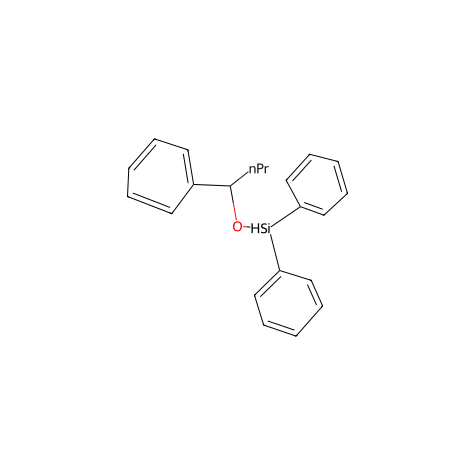 CCCC(O[SiH](c1ccccc1)c1ccccc1)c1ccccc1